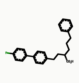 O=C(O)C(CCCc1ccccc1)CCc1ccc(-c2ccc(F)cc2)cc1